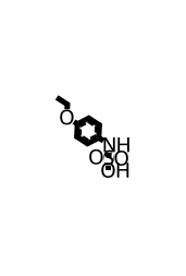 CCOc1ccc(NS(=O)(=O)O)cc1